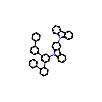 c1ccc(-c2cccc(-c3cc(-c4ccccc4-c4ccccc4)cc(-n4c5ccccc5c5cc(-n6c7ccccc7c7ccccc76)ccc54)c3)c2)cc1